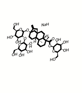 C=C1C[C@@]23CC[C@H]4[C@@](C)(CCC[C@@]4(C)C(=O)O[C@@H]4O[C@H](CO)[C@@H](O)[C@H](O)[C@H]4O)[C@@H]2CC[C@]1(O[C@@H]1O[C@H](CO)[C@@H](O)[C@H](O)[C@H]1O[C@@H]1O[C@H](CO)[C@@H](O)[C@H](O)[C@H]1O)C3.[NaH]